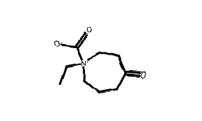 CC[N+]1(C(=O)[O-])CCCC(=O)CC1